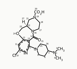 CN(C)C1CCN(c2nc(Cl)cc3c2C(=O)N2CCN(C(=O)O)C[C@@H]2CO3)CC1